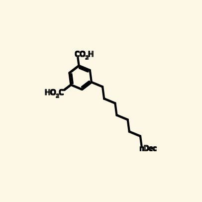 CCCCCCCCCCCCCCCCCc1cc(C(=O)O)cc(C(=O)O)c1